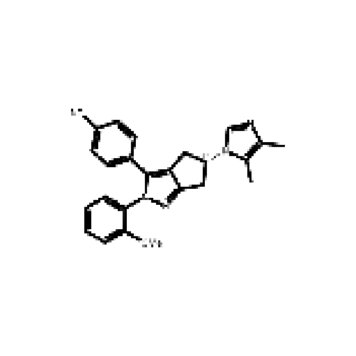 COc1ccccc1-n1nc2c(c1-c1ccc(C#N)cc1)C[C@H](n1cnc(C)c1C)C2